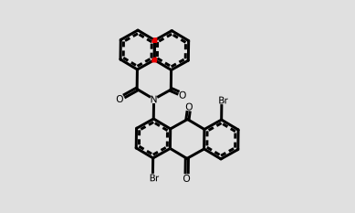 O=C1c2cccc(Br)c2C(=O)c2c(N(C(=O)c3ccccc3)C(=O)c3ccccc3)ccc(Br)c21